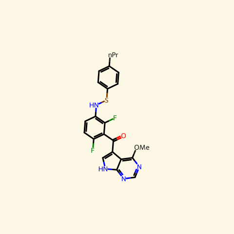 CCCc1ccc(SNc2ccc(F)c(C(=O)c3c[nH]c4ncnc(OC)c34)c2F)cc1